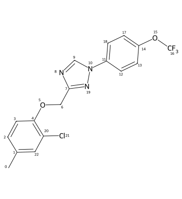 Cc1ccc(OCc2ncn(-c3ccc(OC(F)(F)F)cc3)n2)c(Cl)c1